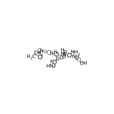 CC(C)c1ccccc1[C@@H]1CCCN1C1CC2(CCN(c3cc(Oc4cnc5[nH]ccc5c4)c(C(=O)NS(=O)(=O)c4ccc(NC[C@@H]5CCC(O)C5)c(N)c4)cn3)CC2)C1